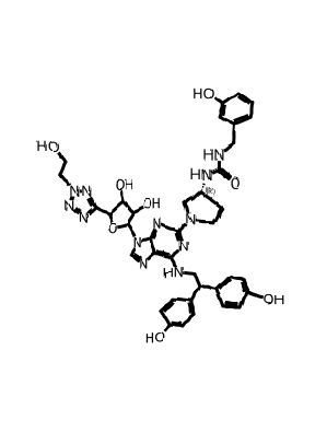 O=C(NCc1cccc(O)c1)N[C@@H]1CCN(c2nc(NCC(c3ccc(O)cc3)c3ccc(O)cc3)c3ncn(C4OC(c5nnn(CCO)n5)C(O)C4O)c3n2)C1